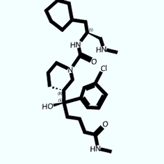 CNC[C@H](CC1CCCCC1)NC(=O)N1CCC[C@@H]([C@@](O)(CCCC(=O)NC)c2cccc(Cl)c2)C1